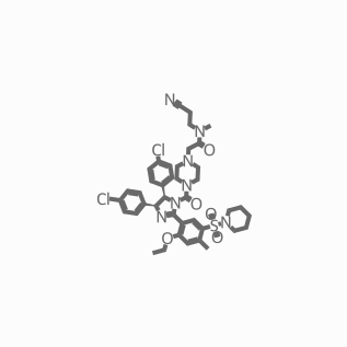 CCOc1cc(C)c(S(=O)(=O)N2CCCCC2)cc1C1=N[C@@H](c2ccc(Cl)cc2)[C@@H](c2ccc(Cl)cc2)N1C(=O)N1CCN(CC(=O)N(C)CCC#N)CC1